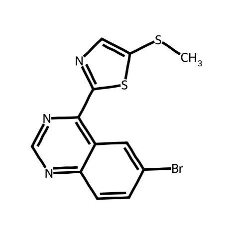 CSc1cnc(-c2ncnc3ccc(Br)cc23)s1